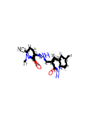 Cc1ccc2[nH]c(=O)c(CNc3ccc(C#N)n(C)c3=O)cc2c1